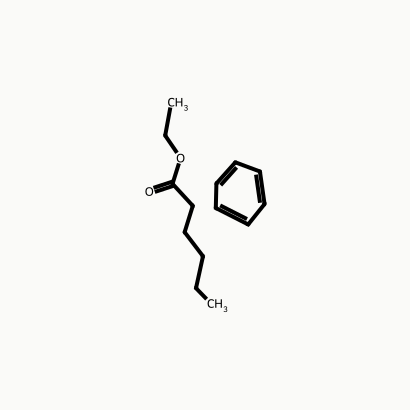 CCCCCC(=O)OCC.c1ccccc1